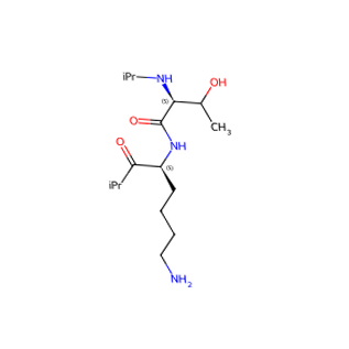 CC(C)N[C@H](C(=O)N[C@@H](CCCCN)C(=O)C(C)C)C(C)O